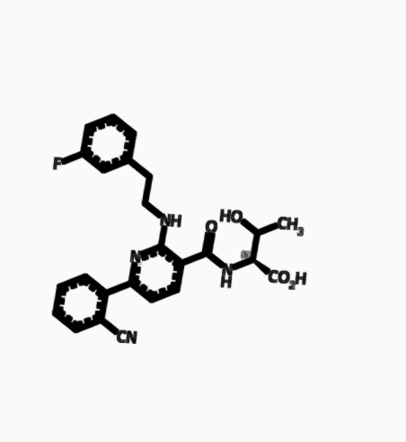 CC(O)[C@H](NC(=O)c1ccc(-c2ccccc2C#N)nc1NCCc1cccc(F)c1)C(=O)O